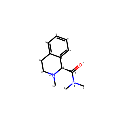 CN(C)C(=O)[C@@H]1c2ccccc2CCN1C